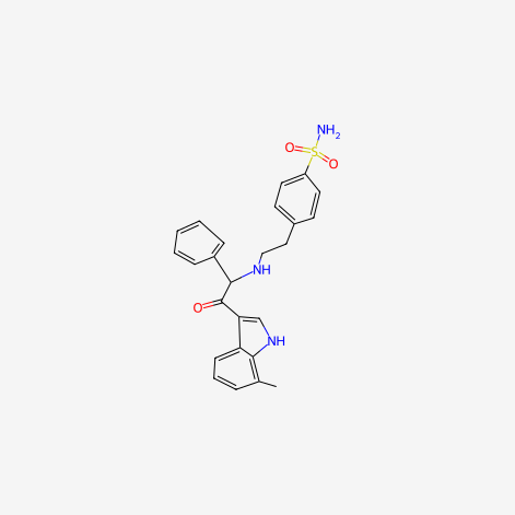 Cc1cccc2c(C(=O)C(NCCc3ccc(S(N)(=O)=O)cc3)c3ccccc3)c[nH]c12